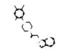 Cc1cc(N2CCN(C(=O)Cn3ncc4cccnc43)CC2)c(F)cc1Cl